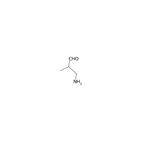 CC([C]=O)CN